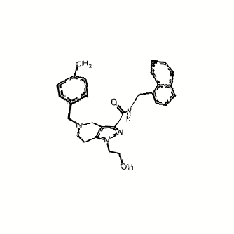 Cc1ccc(CN2CCc3c(c(C(=O)NCc4cccc5ccccc45)nn3CCO)C2)cc1